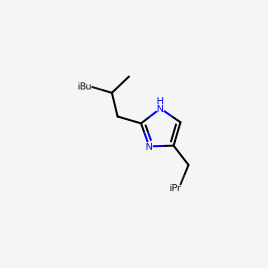 CCC(C)C(C)Cc1nc(CC(C)C)c[nH]1